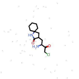 NC(CC1CC2(CCCCC2)NC1=O)C(=O)CCl